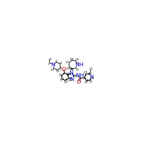 CCN1CCC(Oc2cccc3nc(NC(=O)c4ccnc(C)c4)n([C@@H]4CCCCNC4)c23)CC1